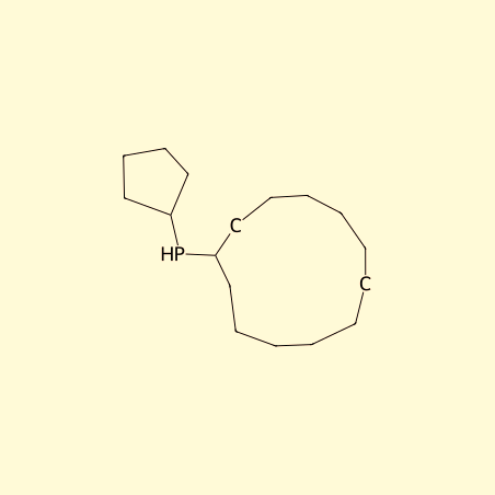 C1CCCCCC(PC2CCCC2)CCCCC1